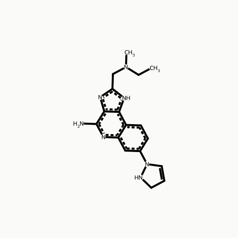 CCN(C)Cc1nc2c(N)nc3cc(N4C=CCN4)ccc3c2[nH]1